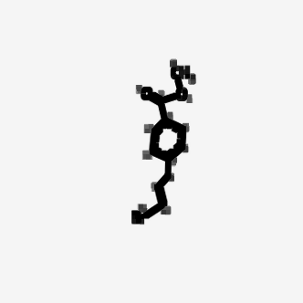 COC(=O)c1ccc(CC=CBr)cc1